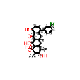 CC(=O)C1=C(O)C(C(C)C)[C@H]2C[C@H]3Cc4c(-c5cccc(Br)c5)ccc(O)c4C(=O)C3=C(O)[C@@]2(O)C1=O